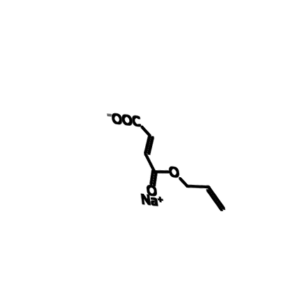 C=CCOC(=O)C=CC(=O)[O-].[Na+]